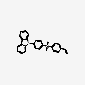 C=Cc1ccc([Si](C)(C)c2ccc(-n3c4ccccc4c4ccccc43)cc2)cc1